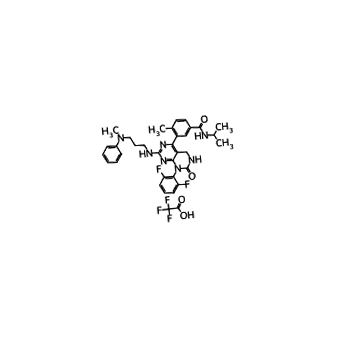 Cc1ccc(C(=O)NC(C)C)cc1-c1nc(NCCCN(C)c2ccccc2)nc2c1CNC(=O)N2c1c(F)cccc1F.O=C(O)C(F)(F)F